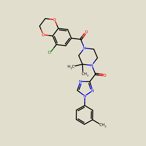 Cc1cccc(-n2cnc(C(=O)N3CCN(C(=O)c4cc(Cl)c5c(c4)OCCO5)CC3(C)C)n2)c1